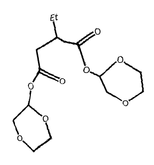 CCC(CC(=O)OC1COCCO1)C(=O)OC1COCCO1